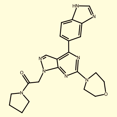 O=C(Cn1ncc2c(-c3ccc4[nH]cnc4c3)nc(N3CCOCC3)nc21)N1CCCC1